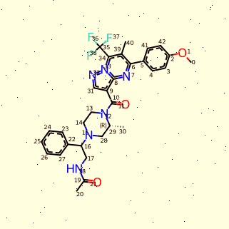 COc1ccc(-c2nc3c(C(=O)N4CCN(C(CNC(C)=O)c5ccccc5)C[C@H]4C)cnn3c(C(F)(F)F)c2C)cc1